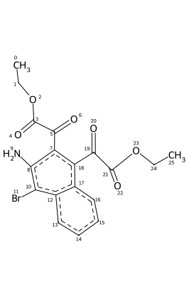 CCOC(=O)C(=O)c1c(N)c(Br)c2ccccc2c1C(=O)C(=O)OCC